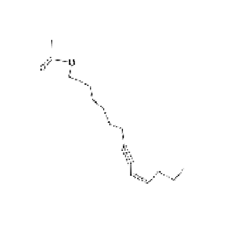 CCC/C=C\C#CCCCCCCOC(C)=O